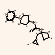 C[C@H]1CC1CC1(NC(=O)NC2CCN(c3ccncc3)CC2)CCC1